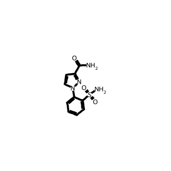 NC(=O)c1ccn(-c2ccccc2S(N)(=O)=O)n1